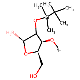 [2H]O[C@@H]1C(O[Si](C)(C)C(C)(C)C)[C@H](B)O[C@@H]1CO